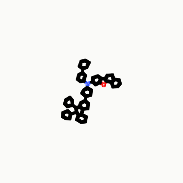 c1ccc(-c2cccc(N(c3ccc(-c4ccc5c(c4)c(-c4ccccc4)c(-c4ccccc4)c4ccccc45)cc3)c3ccc4c(c3)oc3c5ccccc5ccc43)c2)cc1